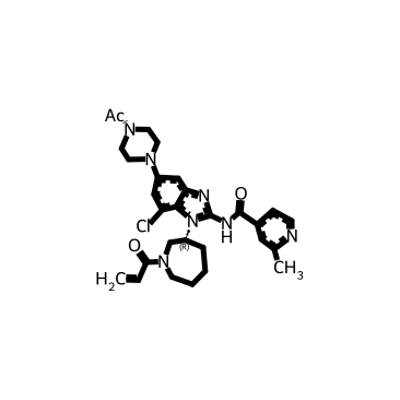 C=CC(=O)N1CCCC[C@@H](n2c(NC(=O)c3ccnc(C)c3)nc3cc(N4CCN(C(C)=O)CC4)cc(Cl)c32)C1